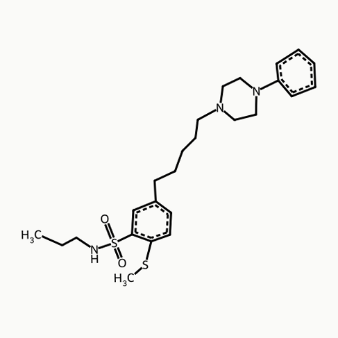 CCCNS(=O)(=O)c1cc(CCCCCN2CCN(c3ccccc3)CC2)ccc1SC